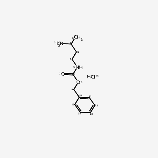 CC(N)CCNC(=O)OCc1ccccc1.Cl